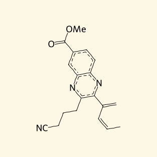 C=C(/C=C\C)c1nc2ccc(C(=O)OC)cc2nc1CCCC#N